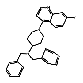 Clc1ccc2c(N3CCC(N(Cc4ccccc4)Cc4ccncc4)CC3)ccnc2c1